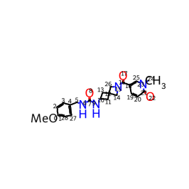 COc1ccc(CNC(=O)NC2CC3(C2)CN(C(=O)c2ccc(=O)n(C)c2)C3)cc1